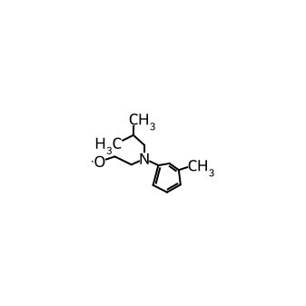 Cc1cccc(N(CC[O])CC(C)C)c1